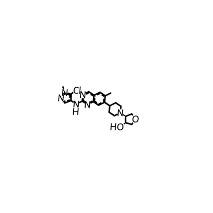 Cc1cc2cnc(Nc3cnn(C)c3Cl)nc2cc1C1CCN([C@H]2COC[C@H]2O)CC1